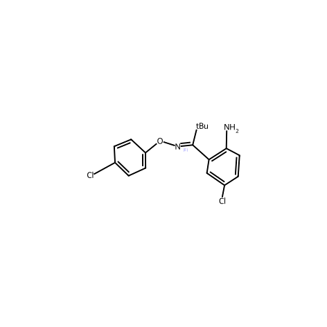 CC(C)(C)/C(=N\Oc1ccc(Cl)cc1)c1cc(Cl)ccc1N